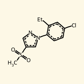 CCc1cc(Cl)ccc1-n1cc(S(C)(=O)=O)cn1